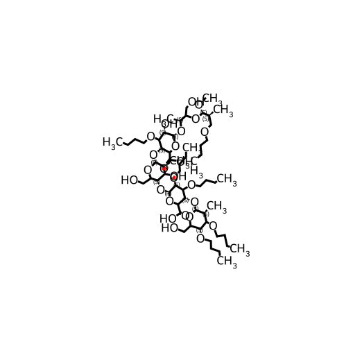 CCCCOC[C@H](C)[C@@H](OC)OC(CO)[C@H](C)O[C@@H]1OC(C(=O)O)[C@@H](O[C@H]2OC(CO)[C@@H](O[C@@H]3OC(C(=O)O)[C@@H](O[C@@H]4OC(CO)[C@@H](OCCCC)C(OCCCC)[C@@H]4C)C(OCCCC)[C@@H]3OCCCC)C(O)[C@@H]2C)C(OCCCC)[C@@H]1O